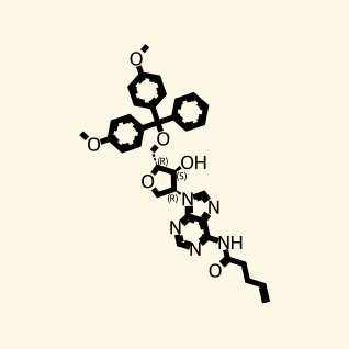 C=CCCC(=O)Nc1ncnc2c1ncn2[C@@H]1CO[C@H](COC(c2ccccc2)(c2ccc(OC)cc2)c2ccc(OC)cc2)[C@H]1O